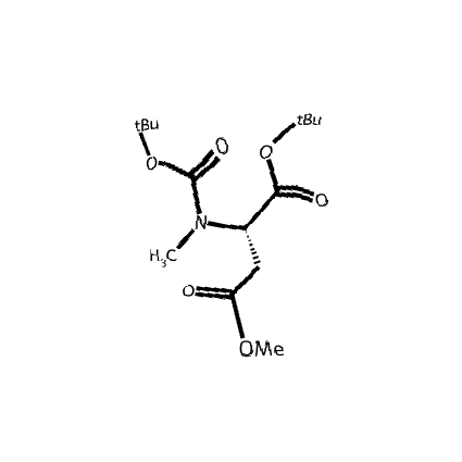 COC(=O)C[C@@H](C(=O)OC(C)(C)C)N(C)C(=O)OC(C)(C)C